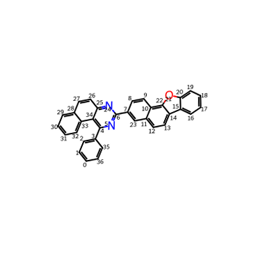 c1ccc(-c2nc(-c3ccc4c(ccc5c6ccccc6oc45)c3)nc3ccc4ccccc4c23)cc1